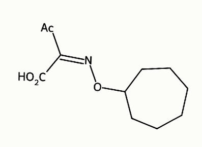 CC(=O)/C(=N/OC1CCCCCC1)C(=O)O